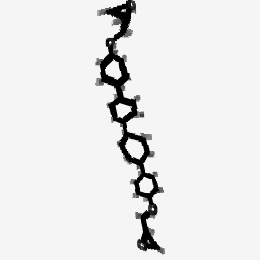 c1cc(-c2ccc(C3CCC(C4CCC(OCC5CO5)CC4)CC3)cc2)ccc1OCC1CO1